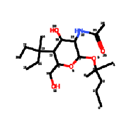 CCCC(C)(C)OC1OC(CO)C(C(C)(CC)CC)C(O)C1NC(C)=O